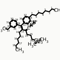 CCCCCCCCc1ccc(C(=C(CCCCCC)C(=C=[N+]=[N-])CCCC)c2cccc(CC)c2)cc1.[CH3][Ni][CH3]